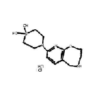 Cl.Cl.OS1(O)CCN(c2ccc3c(n2)OCCNC3)CC1